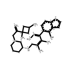 C=C(CN1CCC[C@@H](NC/C(C)=C(C)\C(=N/C)c2ccc3sccc3c2O)C1)C1(C)CC(C)C1